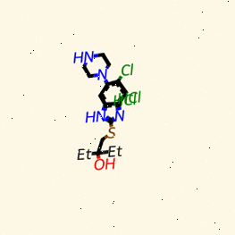 CCC(O)(CC)CSc1nc2cc(Cl)c(N3CCNCC3)cc2[nH]1.Cl.Cl